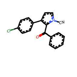 N#Cn1ccc(-c2ccc(Cl)cc2)c1C(=O)c1ccccc1